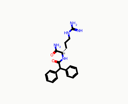 N=C(N)NCCC[C@H](NC(=O)C(c1ccccc1)c1ccccc1)C(N)=O